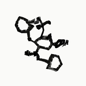 CCCCN(Cc1ccccc1)c1cc(C(=O)O)cc(S(N)(=O)=O)c1Oc1ccccc1